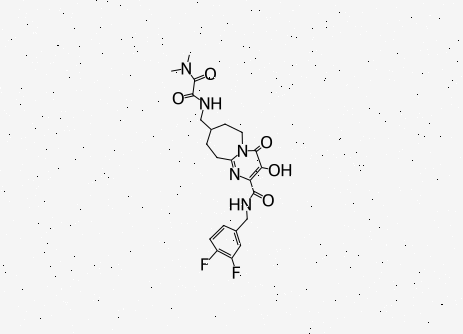 CN(C)C(=O)C(=O)NCC1CCc2nc(C(=O)NCc3ccc(F)c(F)c3)c(O)c(=O)n2CC1